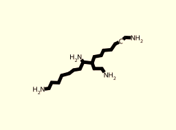 NCCCCCCCC(N)C(CCN)CCCCCCCN